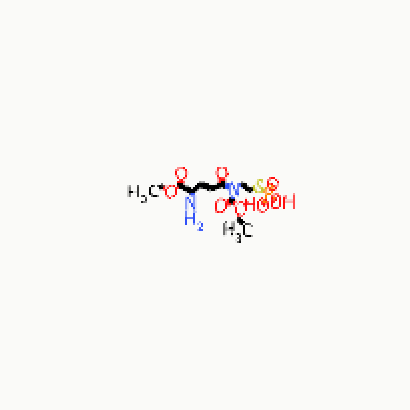 CCOC(=O)C(N)CCC(=O)N(CCSP(=O)(O)O)C(=O)OCC